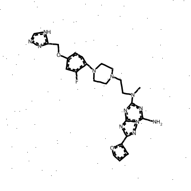 CN(CCN1CCN(c2ccc(OCc3nnc[nH]3)cc2F)CC1)c1nc(N)n2nc(-c3ccco3)nc2n1